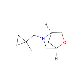 CC1(CN2C[C@H]3C[C@@H]2CO3)CC1